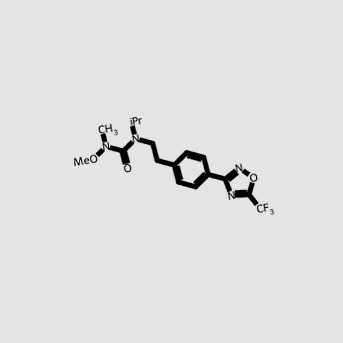 CON(C)C(=O)N(CCc1ccc(-c2noc(C(F)(F)F)n2)cc1)C(C)C